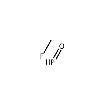 CF.O=P